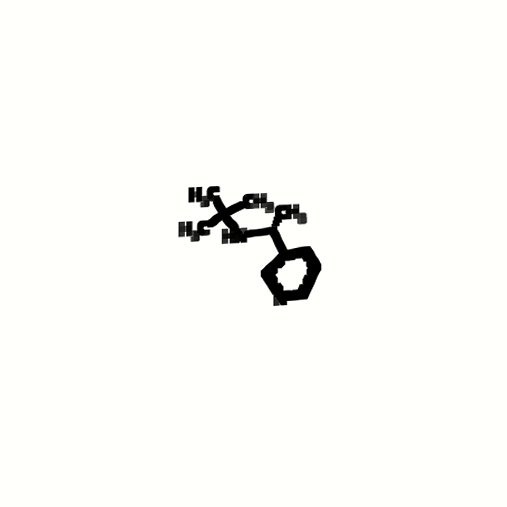 C[C@@H](NC(C)(C)C)c1cccnc1